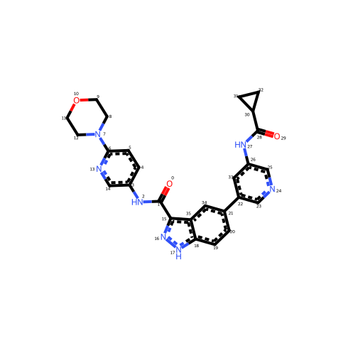 O=C(Nc1ccc(N2CCOCC2)nc1)c1n[nH]c2ccc(-c3cncc(NC(=O)C4CC4)c3)cc12